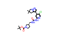 CC1(C)Cc2c(-c3cc(NC(=O)NC[C@H]4CCN(C(=O)OC(C)(C)C)C4)ncc3Cl)cnn2C1